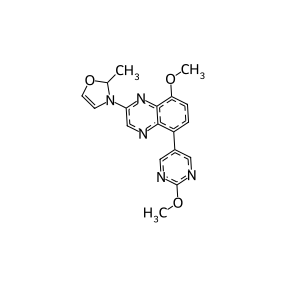 COc1ncc(-c2ccc(OC)c3nc(N4C=COC4C)cnc23)cn1